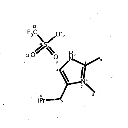 Cc1[nH]cc(CC(C)C)[n+]1C.O=S(=O)([O-])C(F)(F)F